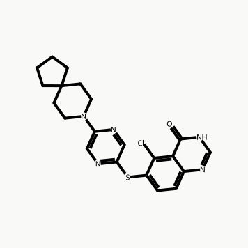 O=c1[nH]cnc2ccc(Sc3cnc(N4CCC5(CCCC5)CC4)cn3)c(Cl)c12